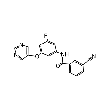 N#Cc1cccc(C(=O)Nc2cc(F)cc(Oc3cncnc3)c2)c1